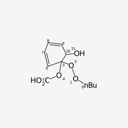 CCCCOOC1(OC(=O)O)C=CC=CC1O